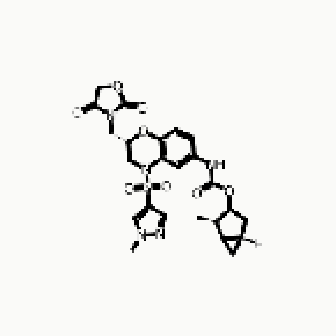 C[C@H]1C(OC(=O)Nc2ccc3c(c2)N(S(=O)(=O)c2cnn(C)c2)C[C@H](CN2C(=O)COC2=O)O3)C[C@@H]2CC21